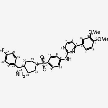 COc1ccc(-c2ccnc(Nc3ccc(S(=O)(=O)N4CCC([C@H](N)c5ccc(F)cc5)CC4)cc3)n2)cc1OC